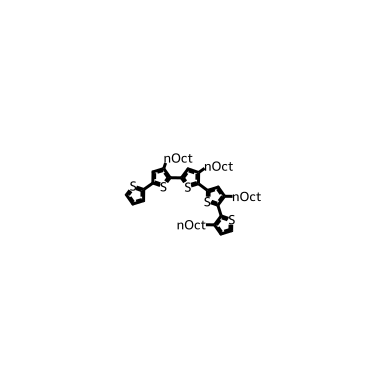 CCCCCCCCc1cc(-c2cccs2)sc1-c1cc(CCCCCCCC)c(-c2cc(CCCCCCCC)c(-c3sccc3CCCCCCCC)s2)s1